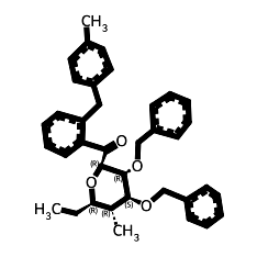 CC[C@H]1O[C@@H](C(=O)c2ccccc2Cc2ccc(C)cc2)[C@H](OCc2ccccc2)[C@@H](OCc2ccccc2)[C@@H]1C